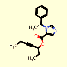 CCC#CC(CC)OC(=O)c1cncn1[C@H](C)c1ccccc1